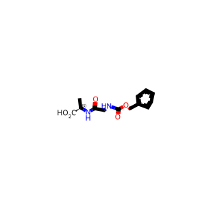 C[C@H](NC(=O)CNC(=O)OCc1ccccc1)C(=O)O